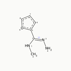 CN/C(=N\N)c1ccco1